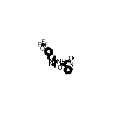 COc1cc(C(=O)Nc2c(C)nn(Cc3cccc(OC(F)(F)F)c3)c2C)c2ccccc2n1